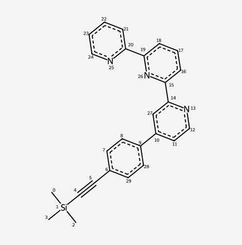 C[Si](C)(C)C#Cc1ccc(-c2ccnc(-c3cccc(-c4ccccn4)n3)c2)cc1